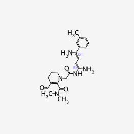 Cc1cccc(/C(N)=C/C=C(\N)NC(=O)CN2CCCC(C=O)=C2C(=O)N(C)C)c1